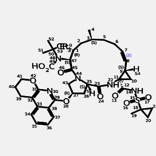 CC[C@@H]1C[C@@H](C)CC/C=C\[C@@H]2C[C@@]2(C(=O)NS(=O)(=O)C2(C)CC2)NC(=O)[C@@H]2C[C@@H](Oc3nc4c(c5ccccc35)CCCO4)CN2C(=O)[C@H]1N(C(=O)O)C(C)(C)C(F)(F)F